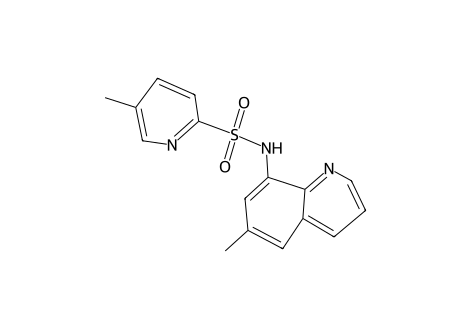 Cc1ccc(S(=O)(=O)Nc2cc(C)cc3cccnc23)nc1